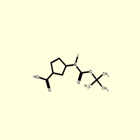 CC(C)(C)OC(=O)N(I)C1CCC(C(=O)O)C1